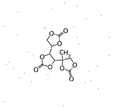 CC1(C2OC(=O)OC2C2COC(=O)O2)COC(=O)O1